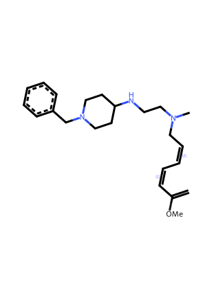 C=C(/C=C\C=C/CN(C)CCNC1CCN(Cc2ccccc2)CC1)OC